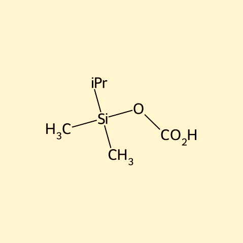 CC(C)[Si](C)(C)OC(=O)O